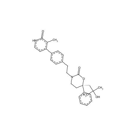 Cc1c(-c2ccc(CCN3CC[C@](CC(C)(C)O)(c4ccccc4)OC3=O)cc2)cc[nH]c1=O